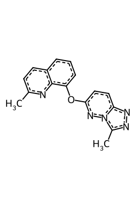 Cc1ccc2cccc(Oc3ccc4nnc(C)n4n3)c2n1